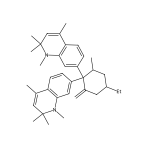 C=C1CC(CC)CC(C)C1(c1ccc2c(c1)N(C)C(C)(C)C=C2C)c1ccc2c(c1)N(C)C(C)(C)C=C2C